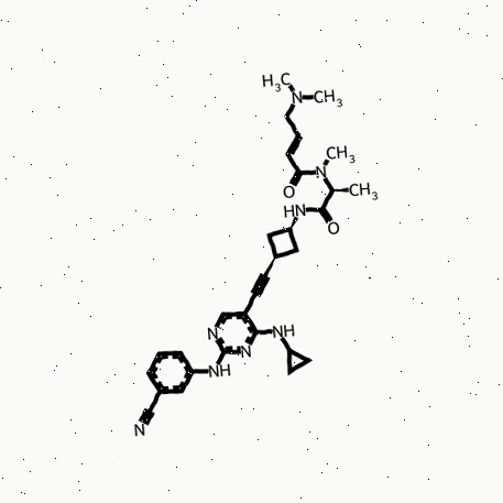 C[C@@H](C(=O)N[C@H]1C[C@@H](C#Cc2cnc(Nc3cccc(C#N)c3)nc2NC2CC2)C1)N(C)C(=O)/C=C/CN(C)C